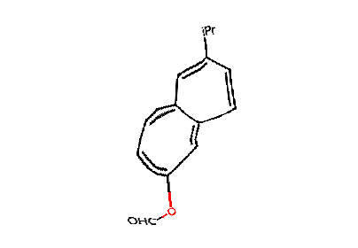 CC(C)c1ccc2cc(OC=O)ccc2c1